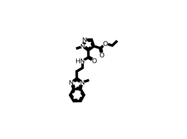 CCOC(=O)c1cnn(C)c1C(=O)NCCc1nc2ccccc2n1C